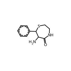 NC1C(=O)NCCSC1c1ccccc1